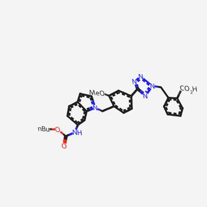 CCCCOC(=O)Nc1ccc2ccn(Cc3ccc(-c4nnn(Cc5ccccc5C(=O)O)n4)cc3OC)c2c1